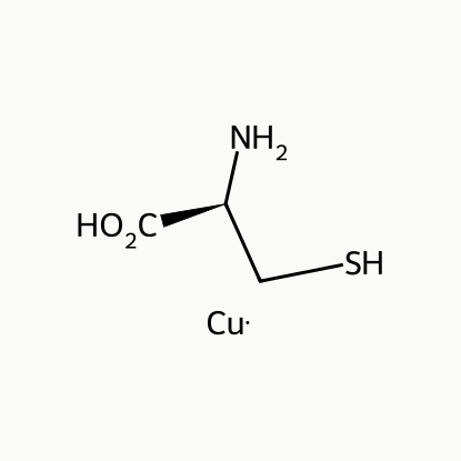 N[C@@H](CS)C(=O)O.[Cu]